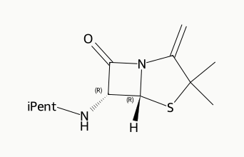 C=C1N2C(=O)[C@@H](NC(C)CCC)[C@H]2SC1(C)C